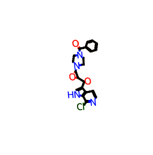 O=C(c1c[nH]c2c(Cl)nccc12)C1OC1N1CCN(C(=O)c2ccccc2)CC1